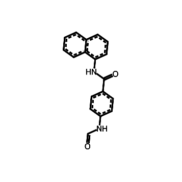 O=CNc1ccc(C(=O)Nc2cccc3ccccc23)cc1